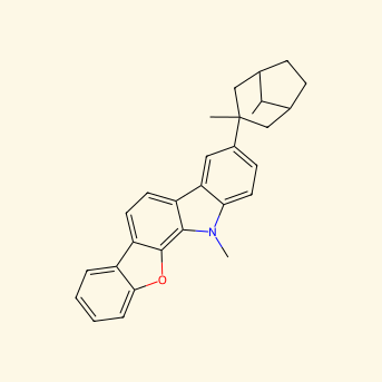 CC1C2CCC1CC(C)(c1ccc3c(c1)c1ccc4c5ccccc5oc4c1n3C)C2